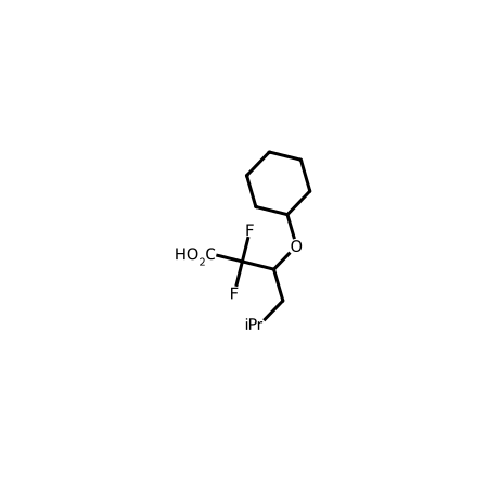 CC(C)CC(OC1CCCCC1)C(F)(F)C(=O)O